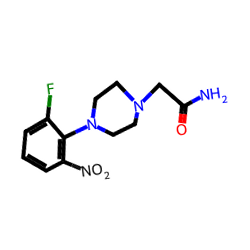 NC(=O)CN1CCN(c2c(F)cccc2[N+](=O)[O-])CC1